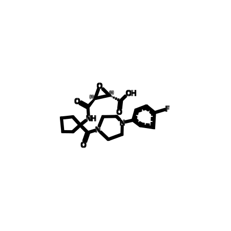 O=C(O)[C@H]1O[C@@H]1C(=O)NC1(C(=O)N2CCN(c3ccc(F)cc3)CC2)CCCC1